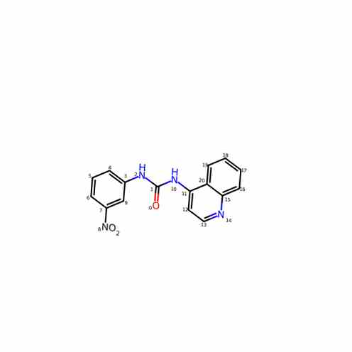 O=C(Nc1cccc([N+](=O)[O-])c1)Nc1ccnc2ccccc12